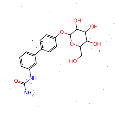 NC(=O)Nc1cccc(-c2ccc(OC3OC(CO)C(O)C(O)C3O)cc2)c1